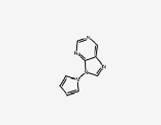 c1ccn(-n2cnc3cncnc32)c1